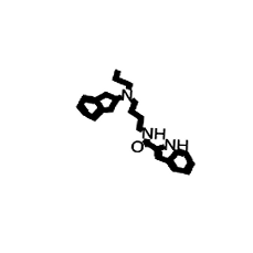 CCCN(CCCCNC(=O)c1cc2ccccc2[nH]1)C1Cc2ccccc2C1